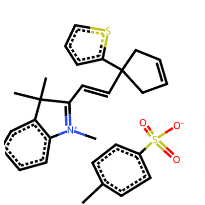 C[N+]1=C(C=CC2(c3cccs3)CC=CC2)C(C)(C)c2ccccc21.Cc1ccc(S(=O)(=O)[O-])cc1